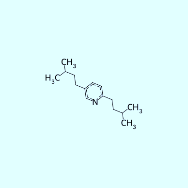 CC(C)CCc1ccc(CCC(C)C)nc1